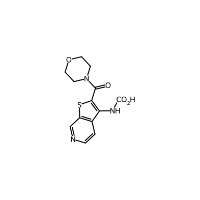 O=C(O)Nc1c(C(=O)N2CCOCC2)sc2cnccc12